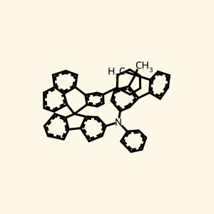 CC1(C)c2ccccc2-c2cc(N(c3ccccc3)c3ccc4c(c3)C3(c5ccccc5-4)c4ccc(C5CCCCC5)cc4-c4cccc5cccc3c45)ccc21